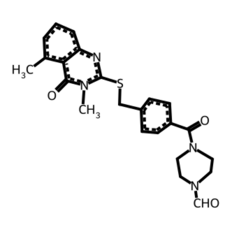 Cc1cccc2nc(SCc3ccc(C(=O)N4CCN(C=O)CC4)cc3)n(C)c(=O)c12